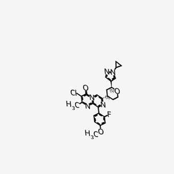 COc1ccc(-c2nc([C@H]3CCO[C@H](c4cnn(C5CC5)c4)C3)cn3c(=O)c(Cl)c(C)nc23)c(F)c1